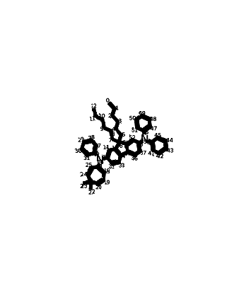 C=CCCCCC1(CCCCCC)c2cc(N(C3=CC=CC(C)(C)C=C3)c3ccccc3)ccc2-c2ccc(N(c3ccccc3)c3ccccc3)cc21